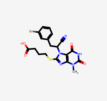 Cn1c(=O)[nH]c(=O)c2c1nc(SCCCC(=O)O)n2C(C#N)Cc1cccc(Br)c1